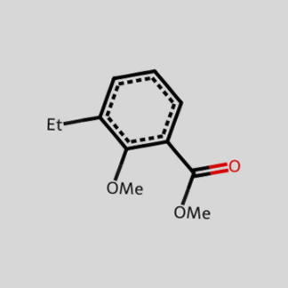 CCc1cccc(C(=O)OC)c1OC